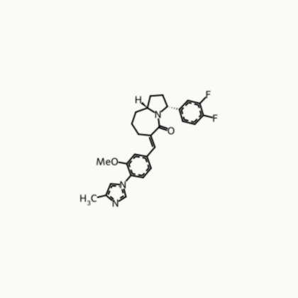 COc1cc(C=C2CCC[C@@H]3CC[C@H](c4ccc(F)c(F)c4)N3C2=O)ccc1-n1cnc(C)c1